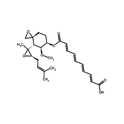 CO[C@H]1[C@H](C2(C)O[C@@H]2CC=C(C)C)[C@]2(CC[C@H]1OC(=O)/C=C/C=C/C=C/C=C/C(=O)O)CO2